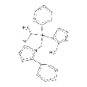 Cc1nccn1C(Cn1ccnc1-c1ccccc1)(c1ccccc1)C(C)C#N